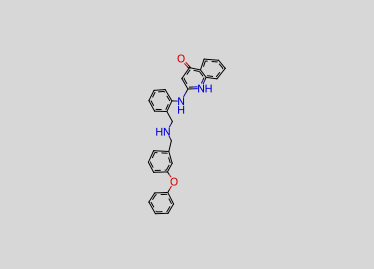 O=c1cc(Nc2ccccc2CNCc2cccc(Oc3ccccc3)c2)[nH]c2ccccc12